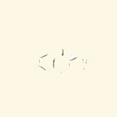 COc1ccc2c(c1)CC/C(=C\N(C)C)C2=O